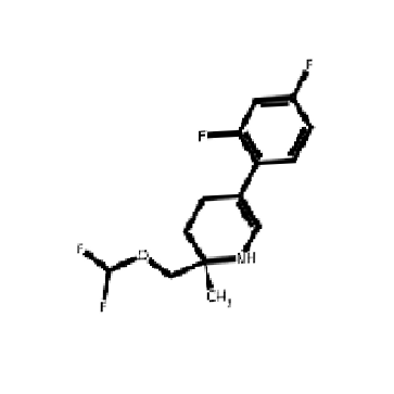 C[C@@]1(COC(F)F)CCC(c2ccc(F)cc2F)=CN1